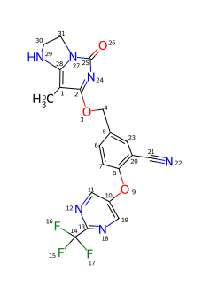 Cc1c(OCc2ccc(Oc3cnc(C(F)(F)F)nc3)c(C#N)c2)nc(=O)n2c1NCC2